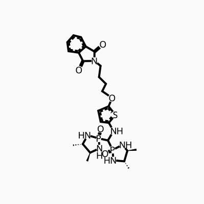 C[C@@H]1NP(=O)(C(Nc2ccc(OCCCCN3C(=O)c4ccccc4C3=O)s2)P2(=O)N[C@@H](C)[C@H](C)N2)N[C@H]1C